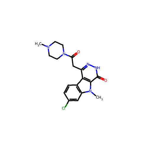 CN1CCN(C(=O)Cc2n[nH]c(=O)c3c2c2ccc(Cl)cc2n3C)CC1